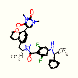 Cn1cc(-c2ccc(C[C@H](NC(=O)c3c(F)cc(N[C@H](c4ccccc4)C(F)(F)F)cc3F)C(=O)O)c3c2OCCC3)c(=O)n(C)c1=O